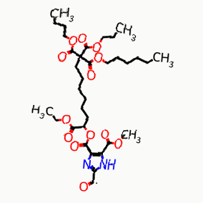 CCCCCCOC(=O)C(CCCCCCC(OC(=O)c1nc([C]=O)[nH]c1C(=O)OC)C(=O)OCC)(C(=O)OCCC)C(=O)OCCCC